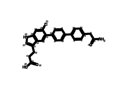 NC(=O)Cc1ccc(-c2ccc(-c3cc4c(CCC(=O)O)n[nH]c4cc3Cl)cc2)cc1